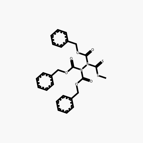 CSC(=S)N(C(=O)OCc1ccccc1)N(C(=O)OCc1ccccc1)C(=O)OCc1ccccc1